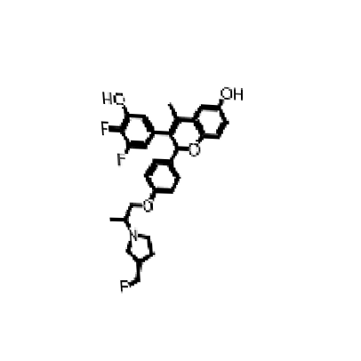 CC1=C(c2cc(O)c(F)c(F)c2)C(c2ccc(OCC(C)N3CCC(CF)C3)cc2)Oc2ccc(O)cc21